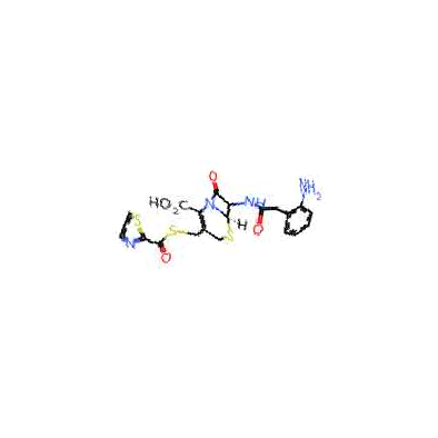 Nc1ccccc1CC(=O)NC1C(=O)N2C(C(=O)O)=C(CSC(=O)c3nccs3)CS[C@H]12